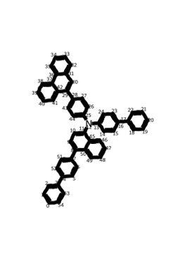 c1ccc(-c2ccc(-c3ccc(N(c4ccc(-c5ccccc5)cc4)c4ccc(-c5cc6ccccc6c6ccccc56)cc4)c4ccccc34)cc2)cc1